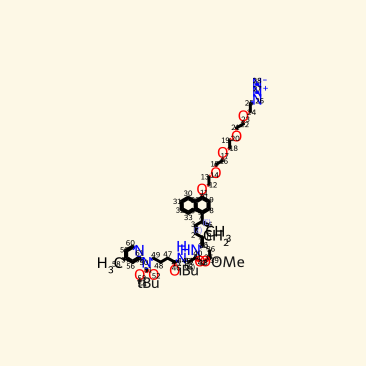 C=C(/C=C\C(=C/C)c1ccc(OCCOCCOCCOCCOCCN=[N+]=[N-])c2ccccc12)[C@H](CC(=O)OC)NC(=O)[C@@H](NC(=O)CCCN(C(=O)OC(C)(C)C)c1cc(C)ccn1)[C@@H](C)CC